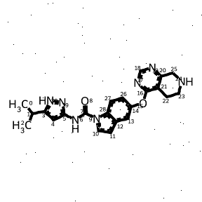 CC(C)c1cc(NC(=O)n2ccc3cc(Oc4ncnc5c4CCNC5)ccc32)n[nH]1